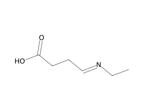 CCN=CCCC(=O)O